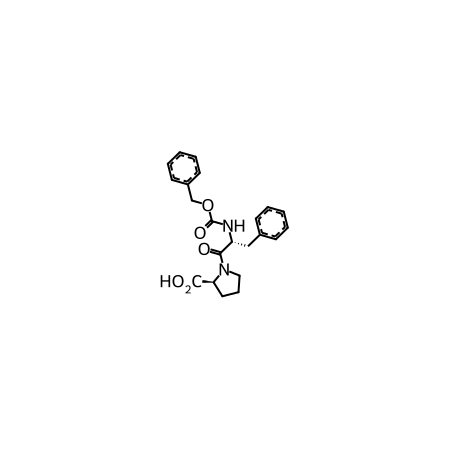 O=C(N[C@H](Cc1ccccc1)C(=O)N1CCC[C@H]1C(=O)O)OCc1ccccc1